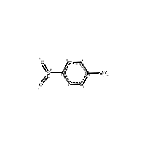 Bc1ccc([SH](=O)=O)cc1